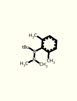 Cc1cccc(C)c1B(N(C)C)C(C)(C)C